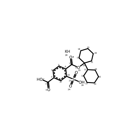 O=C(O)c1ccc(C(=O)OC2(C3CCCCC3)CCCCC2)c(S(=O)(=O)O)c1.[KH]